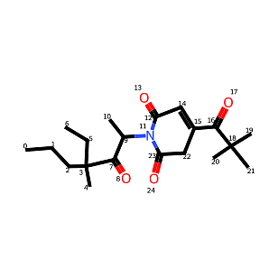 CCCC(C)(CC)C(=O)C(C)N1C(=O)C=C(C(=O)C(C)(C)C)CC1=O